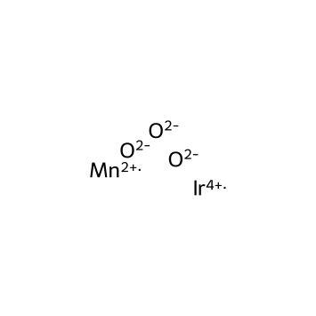 [Ir+4].[Mn+2].[O-2].[O-2].[O-2]